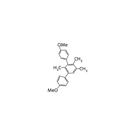 COc1ccc(-c2[c]c(C)c(C)c(-c3ccc(OC)cc3)c2C)cc1